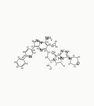 CCCN(C(=O)c1nnc(N2CCOCC2)[nH]1)[C@H](CC)CCc1nc2c(-c3ccc(-c4ccccc4)nc3)cnn2c(N)c1C1CC1